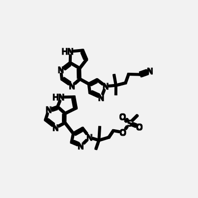 CC(C)(CCC#N)n1cc(-c2ncnc3[nH]ccc23)cn1.CC(C)(CCOS(C)(=O)=O)n1cc(-c2ncnc3[nH]ccc23)cn1